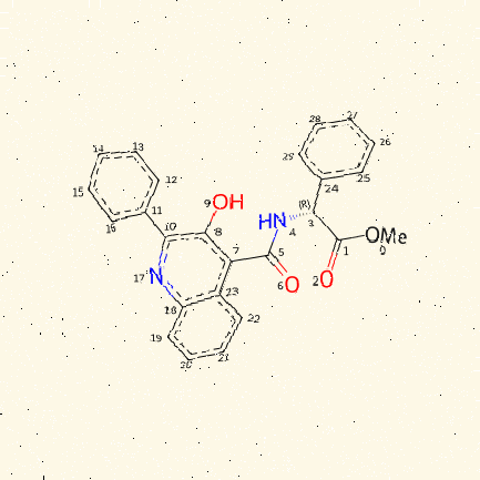 COC(=O)[C@H](NC(=O)c1c(O)c(-c2ccccc2)nc2ccccc12)c1ccccc1